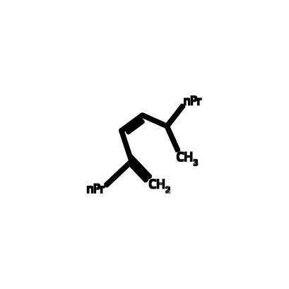 C=C(/C=C\C(C)CCC)CCC